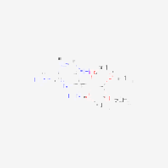 COC(OC)C(OC)(OC)C1(N)N=C(N)N=CN1